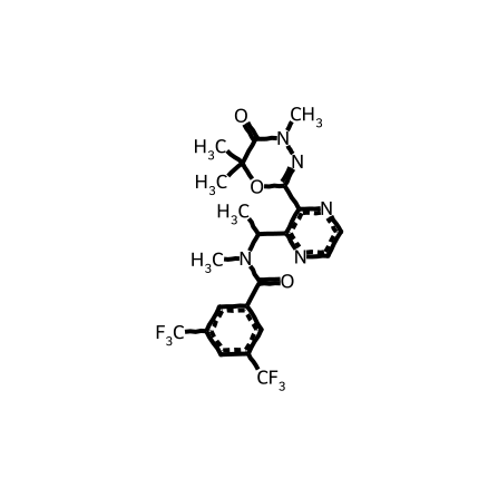 CC(c1nccnc1C1=NN(C)C(=O)C(C)(C)O1)N(C)C(=O)c1cc(C(F)(F)F)cc(C(F)(F)F)c1